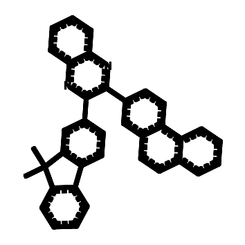 CC1(C)c2ccccc2-c2ccc(-c3nc4ccccc4nc3-c3ccc4c(ccc5ccccc54)c3)cc21